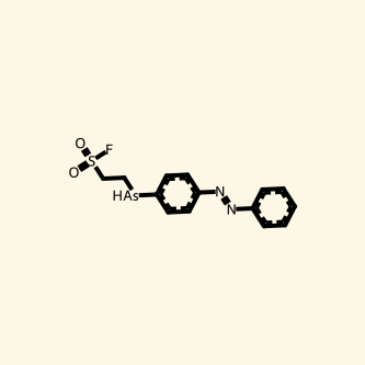 O=S(=O)(F)CC[AsH]c1ccc(N=Nc2ccccc2)cc1